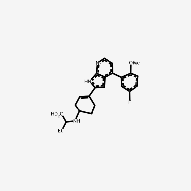 CCC(NC1CC=C(c2cc3c(-c4cc(F)ccc4OC)ccnc3[nH]2)CC1)C(=O)O